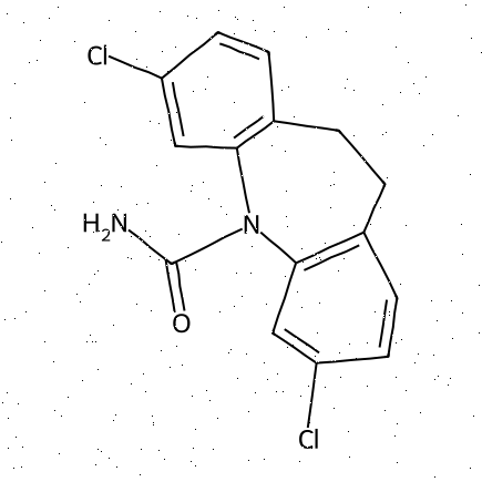 NC(=O)N1c2cc(Cl)ccc2CCc2ccc(Cl)cc21